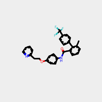 Cc1cccc(C(=O)Nc2ccc(OCCc3ccccn3)cc2)c1-c1ccc(C(F)(F)F)cc1